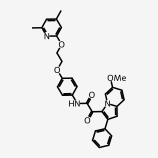 COc1ccc2cc(-c3ccccc3)c(C(=O)C(=O)Nc3ccc(OCCOc4cc(C)cc(C)n4)cc3)n2c1